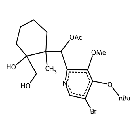 CCCCOc1c(Br)cnc(C(OC(C)=O)C2(C)CCCCC2(O)CO)c1OC